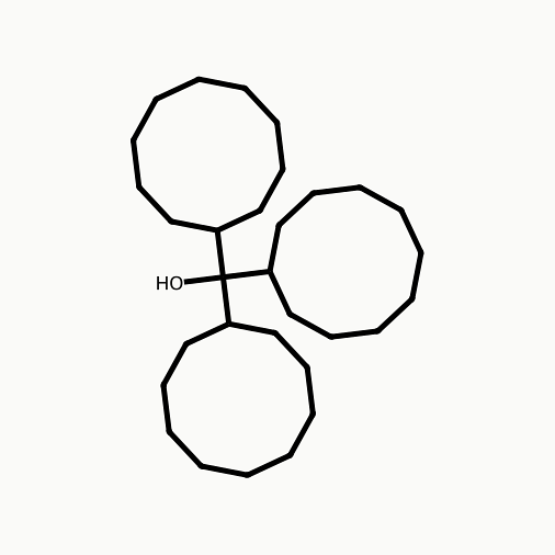 OC(C1CCCCCCCCC1)(C1CCCCCCCCC1)C1CCCCCCCCC1